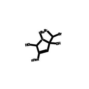 CCCCCCC1=CC(O)(C(Br)Br)N(CCCC)C1O